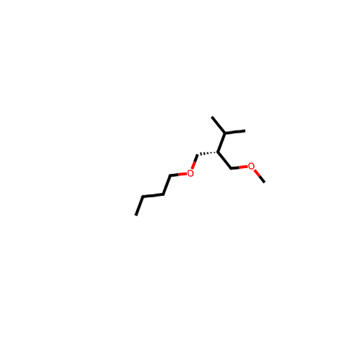 CCCCOC[C@@H](COC)C(C)C